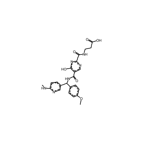 CNc1ccc(C(NC(=O)c2cnc(C(=O)NCCC(=O)O)nc2O)c2ccc(OC)cc2)cn1